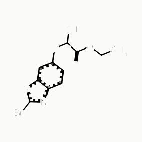 CCOC(=S)C(C)Oc1ccc2nc(Br)sc2c1